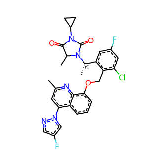 Cc1cc(-n2cc(F)cn2)c2cccc(OCc3c(Cl)cc(F)cc3[C@H](C)N3C(=O)N(C4CC4)C(=O)C3C)c2n1